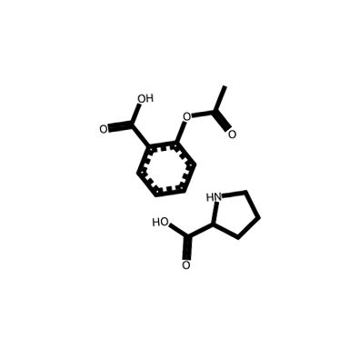 CC(=O)Oc1ccccc1C(=O)O.O=C(O)C1CCCN1